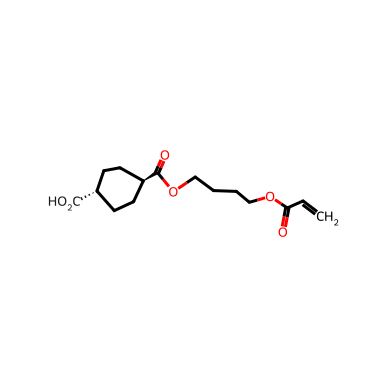 C=CC(=O)OCCCCOC(=O)[C@H]1CC[C@H](C(=O)O)CC1